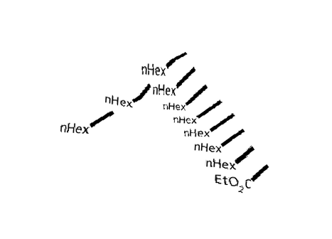 CCCCCCC.CCCCCCC.CCCCCCC.CCCCCCC.CCCCCCC.CCCCCCC.CCCCCCC.CCCCCCC.CCCCCCC.CCOC(C)=O